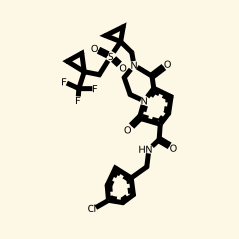 O=C(NCc1ccc(Cl)cc1)c1ccc2n(c1=O)CCN(CC1(S(=O)(=O)CC3(C(F)(F)F)CC3)CC1)C2=O